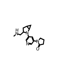 CNCC1CC2CC2N1c1cncc(N2CCCC2=O)c1